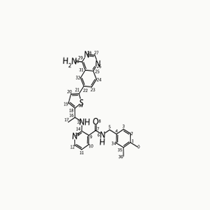 Cc1ccc(CNC(=O)c2cccnc2NC(C)c2ccc(-c3ccc4ncnc(N)c4c3)s2)cc1C